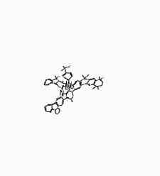 Cc1cc(-c2cc3c(cc2Nc2ccc(C(C)(C)C)cc2)C(C)(C)c2cc4c(cc2-3)C(C)(C)CCC4(C)C)c2c3c1c1cc4oc5ccccc5c4cc1n3-c1cc3c(cc1B2)C(C)(C)c1ccccc1-3